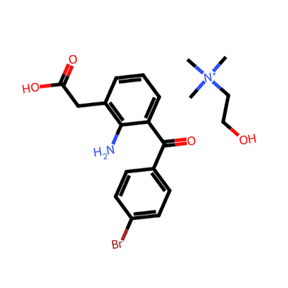 C[N+](C)(C)CCO.Nc1c(CC(=O)O)cccc1C(=O)c1ccc(Br)cc1